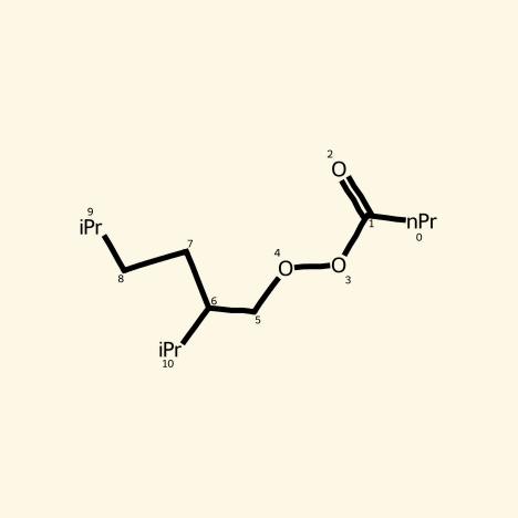 CCCC(=O)OOCC(CCC(C)C)C(C)C